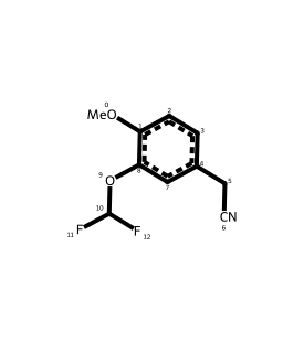 COc1ccc(CC#N)cc1OC(F)F